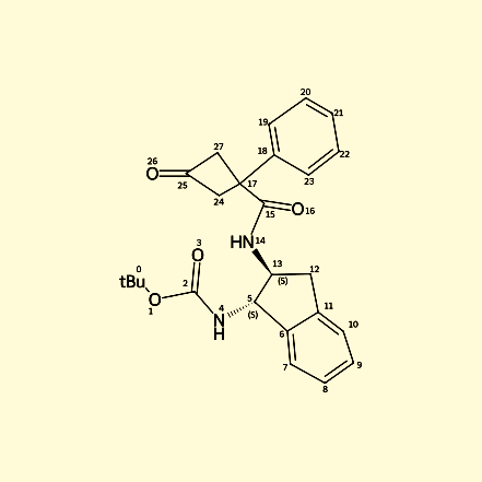 CC(C)(C)OC(=O)N[C@H]1c2ccccc2C[C@@H]1NC(=O)C1(c2ccccc2)CC(=O)C1